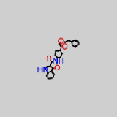 O=C(Nc1ccc(C2=COC(Cc3ccccc3)O2)cc1)c1c[nH]c2ccccc2c1=O